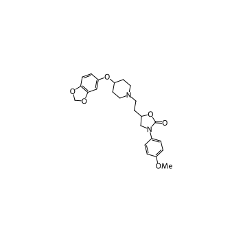 COc1ccc(N2CC(CCN3CCC(Oc4ccc5c(c4)OCO5)CC3)OC2=O)cc1